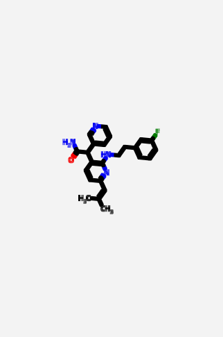 CC(C)=Cc1ccc(C(C(N)=O)c2cccnc2)c(NCCc2cccc(F)c2)n1